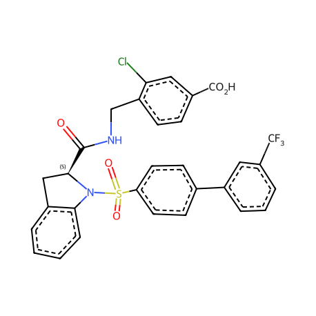 O=C(O)c1ccc(CNC(=O)[C@@H]2Cc3ccccc3N2S(=O)(=O)c2ccc(-c3cccc(C(F)(F)F)c3)cc2)c(Cl)c1